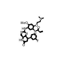 C=CC(=O)Nc1cc(Nc2ncc3[nH]c(=O)cc(-c4cccc(F)c4)c3n2)c(OC)cc1OCCN(C)C